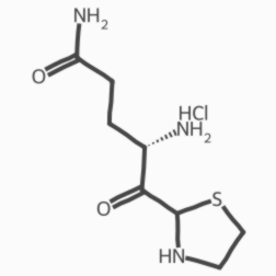 Cl.NC(=O)CC[C@H](N)C(=O)C1NCCS1